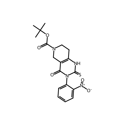 CC(C)(C)OC(=O)N1CCc2[nH]c(=S)n(-c3ccccc3[N+](=O)[O-])c(=O)c2C1